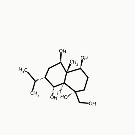 CC(C)[C@@H]1C[C@@H](O)[C@@]2(C)[C@H]([C@@H]1O)[C@](O)(CO)CC[C@@H]2O